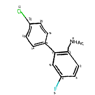 CC(=O)Nc1ccc(F)cc1-c1ccc(Cl)cc1